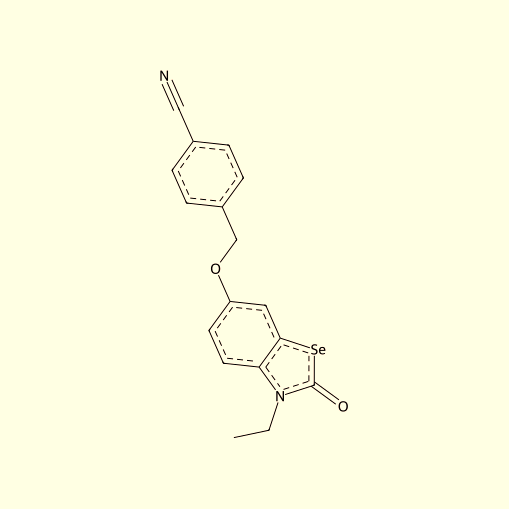 CCn1c(=O)[se]c2cc(OCc3ccc(C#N)cc3)ccc21